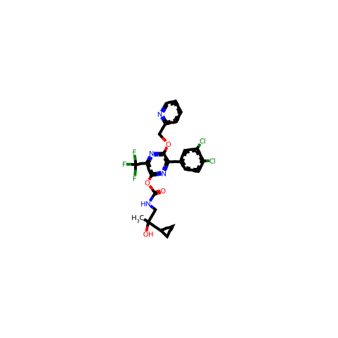 CC(O)(CNC(=O)Oc1nc(-c2ccc(Cl)c(Cl)c2)c(OCc2ccccn2)nc1C(F)(F)F)C1CC1